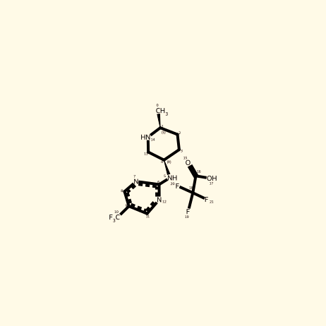 C[C@H]1CC[C@@H](Nc2ncc(C(F)(F)F)cn2)CN1.O=C(O)C(F)(F)F